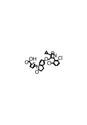 O=C(O)c1ccc(N2C(=O)CCc3cc(OCc4c(-c5c(Cl)cccc5Cl)noc4C4CC4)ccc32)s1